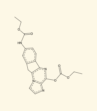 CCOC(=O)Nc1ccc2c(c1)Cc1c-2nc(OC(=O)OCC)c2nccn12